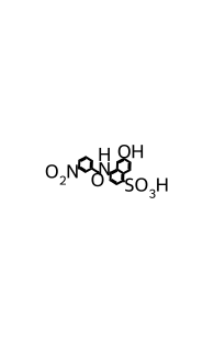 O=C(Nc1ccc(S(=O)(=O)O)c2ccc(O)cc12)c1cccc([N+](=O)[O-])c1